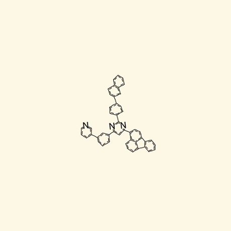 c1cncc(-c2cccc(-c3cc(-c4ccc5c6c(cccc46)-c4ccccc4-5)nc(-c4ccc(-c5ccc6ccccc6c5)cc4)n3)c2)c1